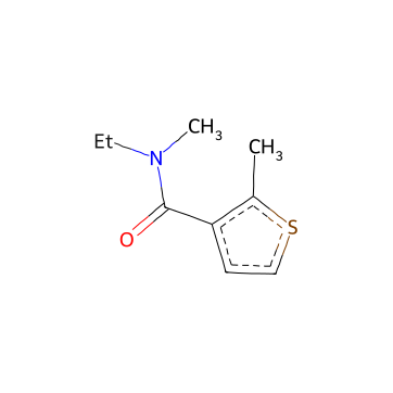 CCN(C)C(=O)c1ccsc1C